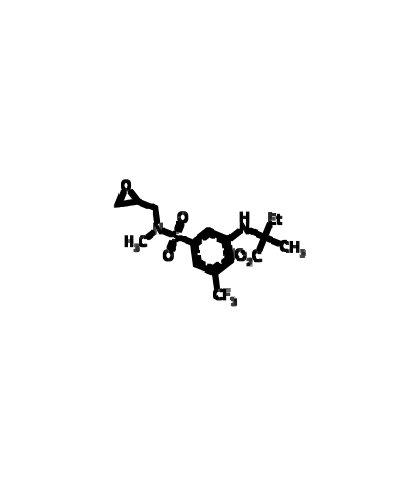 CCC(C)(Nc1cc(C(F)(F)F)cc(S(=O)(=O)N(C)CC2CO2)c1)C(=O)O